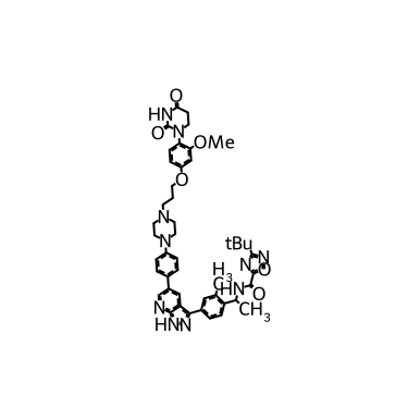 COc1cc(OCCCN2CCN(c3ccc(-c4cnc5[nH]nc(-c6ccc(C(C)NC(=O)c7nc(C(C)(C)C)no7)c(C)c6)c5c4)cc3)CC2)ccc1N1CCC(=O)NC1=O